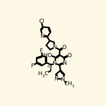 CC[C@@H](c1cc(F)cc(F)c1)n1c(-c2cnn(C)c2)nc(=O)c(C(=O)N2CCC(c3ccc(Cl)cn3)C2)c1O